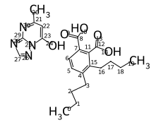 CCCCc1ccc(C(=O)O)c(C(=O)O)c1CCCC.Cc1cc(O)n2ncnc2n1